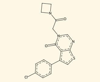 O=C(Cn1cnc2scc(-c3ccc(Cl)cc3)c2c1=O)N1CCC1